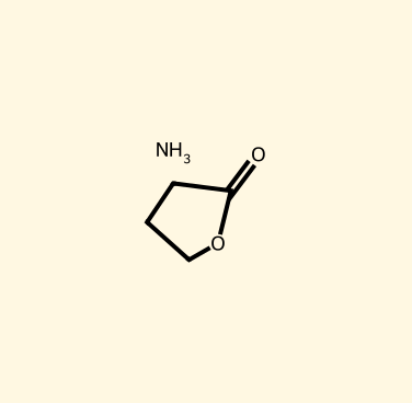 N.O=C1CCCO1